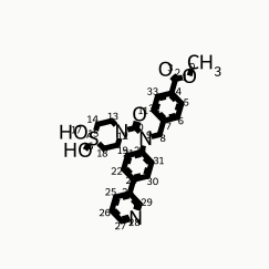 COC(=O)c1ccc(CN(C(=O)N2CCS(O)(O)CC2)c2ccc(-c3cccnc3)cc2)cc1